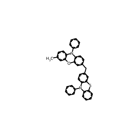 Cc1ccc2c(c1)Oc1cc(Cc3ccc4c(c3)Sc3ccccc3N4c3ccccc3)ccc1N2c1ccccc1